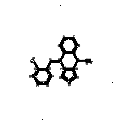 CC1c2ccccc2/C(=C/c2cccnc2Cl)n2cncc21